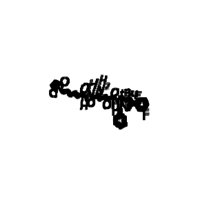 CC(C)(C)[C@@H](NC(=O)C(O)CC[C@H](N)C(=O)NNC(=O)CCCCCN1C(=O)C=CC1=O)c1cc(-c2cc(F)ccc2F)cn1Cc1ccccc1